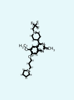 COc1cc2c(C3CCN(CC(F)(F)F)CC3)nc(C)nc2cc1OCCCN1CCCC1